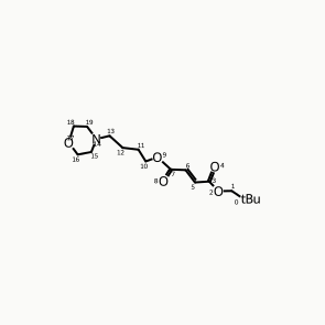 CC(C)(C)COC(=O)/C=C/C(=O)OCCCCN1CCOCC1